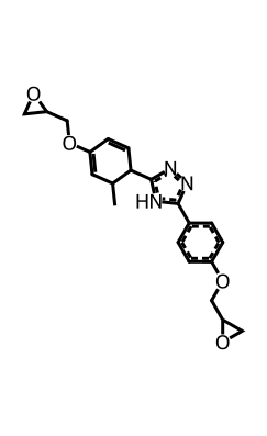 CC1C=C(OCC2CO2)C=CC1c1nnc(-c2ccc(OCC3CO3)cc2)[nH]1